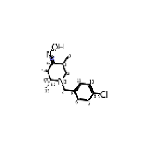 CC1CN(Cc2ccc(Cl)cc2)[C@H](C)C/C1=N/O